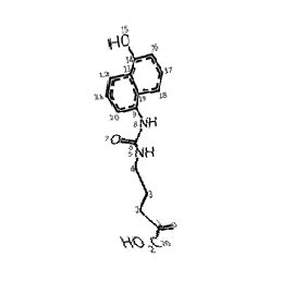 C=C(CCCNC(=O)Nc1cccc2c(O)cccc12)C(=O)O